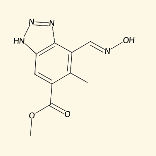 COC(=O)c1cc2[nH]nnc2c(C=NO)c1C